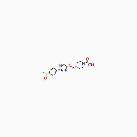 C[S+]([O-])c1ccc(-c2cnc(OCC3CCN(C(=O)O)CC3)cn2)cc1